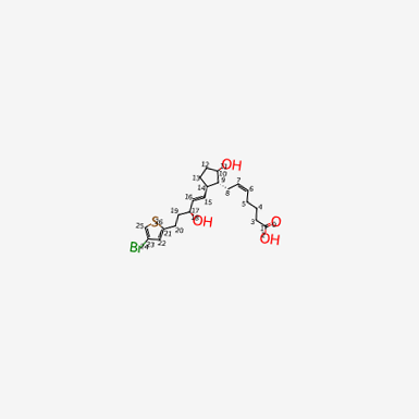 O=C(O)CCC/C=C\C[C@H]1C(O)CC[C@@H]1/C=C/[C@@H](O)CCc1cc(Br)cs1